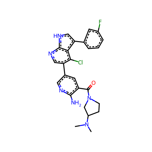 CN(C)C1CCN(C(=O)c2cc(-c3cnc4[nH]cc(-c5cccc(F)c5)c4c3Cl)cnc2N)C1